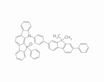 CC1(C)c2cc(-c3ccccc3)ccc2-c2ccc(-c3ccc(-n4c5ccccc5c5ccc6c(c54)P(=O)(c4ccccc4)c4ccccc4-6)cc3)cc21